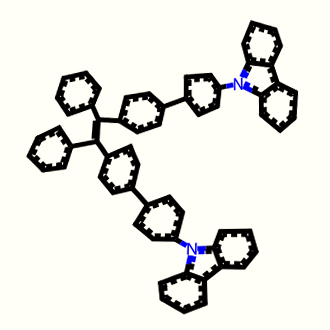 c1ccc(C(=C(c2ccccc2)c2ccc(-c3ccc(-n4c5ccccc5c5ccccc54)cc3)cc2)c2ccc(-c3ccc(-n4c5ccccc5c5ccccc54)cc3)cc2)cc1